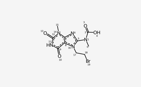 CN(C(=O)O)c1nc2c(c(=O)[nH]c(=O)n2C)n1CCBr